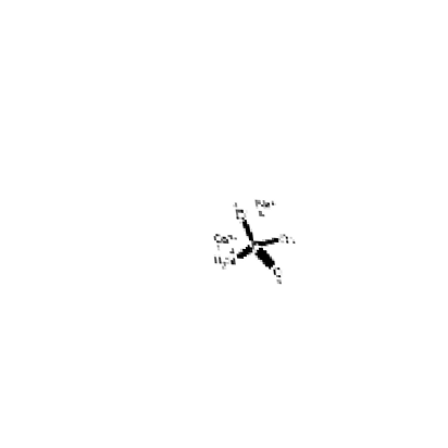 O=P([O-])([O-])[SiH2-].[Ca+2].[Na+]